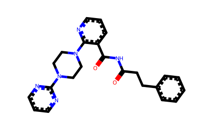 O=C(CCc1ccccc1)NC(=O)c1cccnc1N1CCN(c2ncccn2)CC1